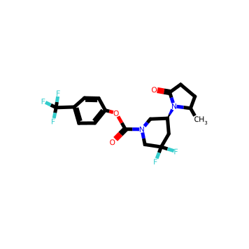 CC1CCC(=O)N1[C@@H]1CN(C(=O)Oc2ccc(C(F)(F)F)cc2)CC(F)(F)C1